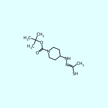 C/C(S)=N\NC1CCN(C(=O)OC(C)(C)C)CC1